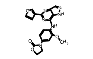 COc1cc(N2CCOC2=O)ccc1Nc1nc(-c2ccoc2)nc2cn[nH]c12